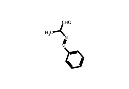 CC(C=O)N=Nc1ccccc1